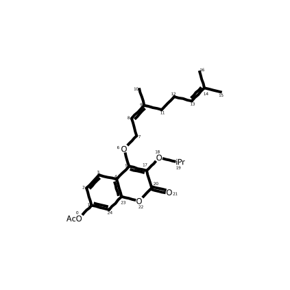 CC(=O)Oc1ccc2c(OCC=C(C)CCC=C(C)C)c(OC(C)C)c(=O)oc2c1